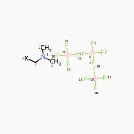 CN(C)[CH2][K].F[B-](F)(F)F.F[B-](F)(F)F.F[B-](F)(F)F